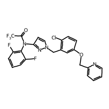 O=C(N(c1ccn(Cc2cc(OCc3ccccn3)ccc2Cl)n1)c1c(F)cccc1F)C(F)(F)F